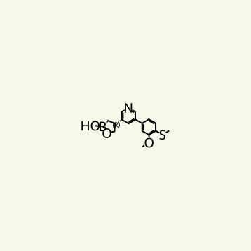 COc1cc(-c2cncc([C@@H]3COB(O)C3)c2)ccc1SC